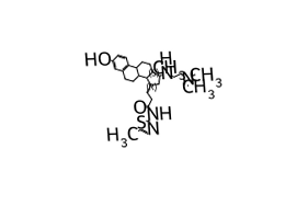 Cc1cnc(NC(=O)CC[C@@H]2CC(NCCN(C)C)[C@@]3(C)CCC4c5ccc(O)cc5CCC4C23)s1